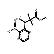 COC(=O)C(C)(C)[C](N)c1ccccc1[N+](=O)[O-]